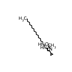 CCCCCCCCCCCCCCCCNC(=O)Nc1cc(C2CC2)nn1C